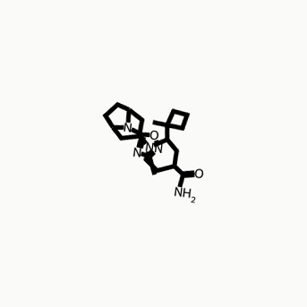 Cc1noc(N2C3CCC2CC(N2CCC(C(N)=O)CC2C2(C)CCC2)C3)n1